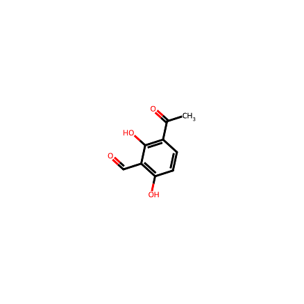 CC(=O)c1ccc(O)c(C=O)c1O